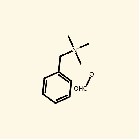 C[N+](C)(C)Cc1ccccc1.O=C[O-]